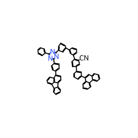 N#Cc1cc(-c2cccc(-c3cc4ccccc4c4ccccc34)c2)ccc1-c1cccc(-c2cccc(-c3nc(-c4ccccc4)nc(-c4ccc(-c5ccc6c7c(cccc57)-c5ccccc5-6)cc4)n3)c2)c1